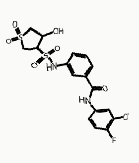 O=C(Nc1ccc(F)c(Cl)c1)c1cccc(NS(=O)(=O)C2CS(=O)(=O)CC2O)c1